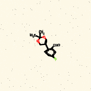 CC1(C)OC=C(c2ccc(F)cc2C=O)CO1